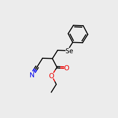 CCOC(=O)C(CC#N)C[Se]c1ccccc1